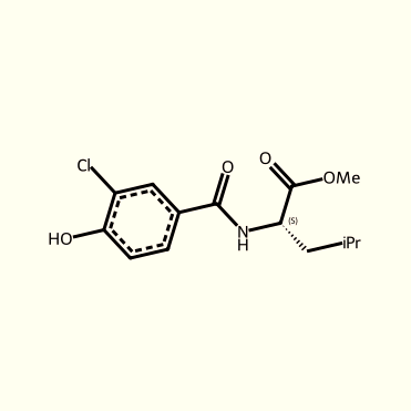 COC(=O)[C@H](CC(C)C)NC(=O)c1ccc(O)c(Cl)c1